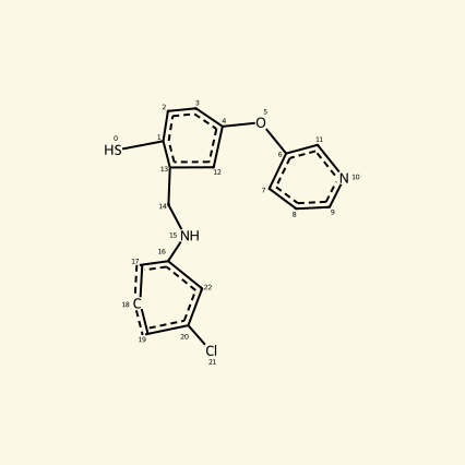 Sc1ccc(Oc2cccnc2)cc1CNc1cccc(Cl)c1